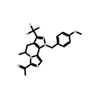 COc1ccc(Cn2nc(C(F)(F)F)c3c2-c2cnc(C(C)=O)n2C(C)C3)cc1